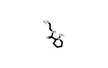 CN1CCCCC1C(=O)NCCN